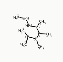 CP(C)P(C)P(C)P(C)PPP